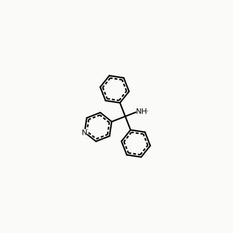 [NH]C(c1ccccc1)(c1ccccc1)c1ccncc1